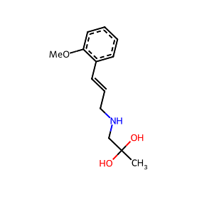 COc1ccccc1C=CCNCC(C)(O)O